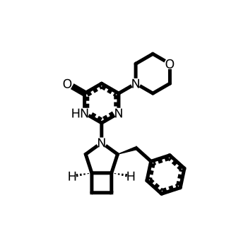 O=c1cc(N2CCOCC2)nc(N2C[C@@H]3CC[C@@H]3[C@@H]2Cc2ccccc2)[nH]1